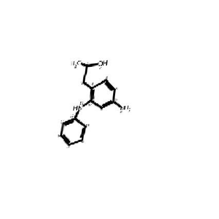 CC(O)Cc1ccc(N)cc1Nc1ccccc1